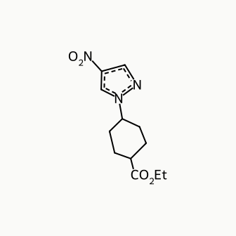 CCOC(=O)C1CCC(n2cc([N+](=O)[O-])cn2)CC1